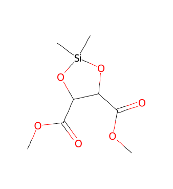 COC(=O)C1O[Si](C)(C)OC1C(=O)OC